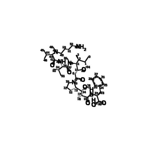 CC[C@H](C)C([C@@H](CC(=O)N1CCC[C@H]1[C@H](OC)[C@@H](C)C(=O)N[C@@H](Cc1ccccc1)C(=O)O)OC)N(C)C(=O)[C@@H](NC(=O)C(C(C)C)N(C)CCCCN)C(C)C